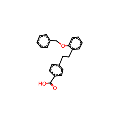 O=C(O)c1ccc(CCc2ccccc2OCc2ccccc2)cc1